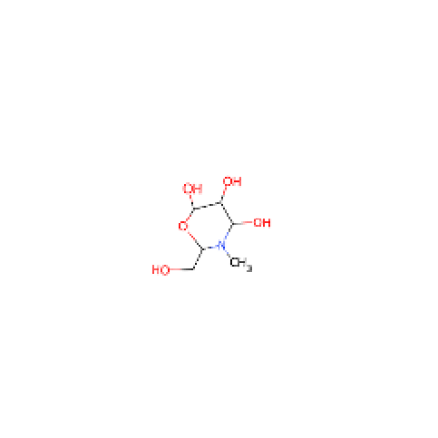 CN1C(CO)OC(O)C(O)C1O